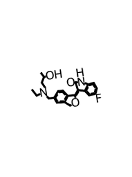 CCN(CCC(C)O)Cc1ccc2c(c1)CO/C2=C1/C(=O)Nc2ccc(F)cc21